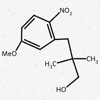 COc1ccc([N+](=O)[O-])c(CC(C)(C)CO)c1